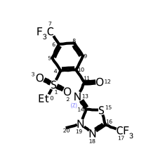 CCS(=O)(=O)c1cc(C(F)(F)F)ccc1C(=O)/N=c1\sc(C(F)(F)F)nn1C